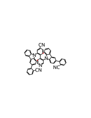 N#Cc1ccc(-c2ccncc2-n2c3ccccc3c3cc(-c4ccccc4C#N)ccc32)c(-n2c3ccccc3c3cc(-c4ccccc4C#N)ccc32)c1